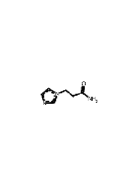 NC(=O)[CH]Cn1ccnc1